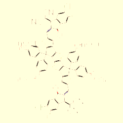 CCCCCCCCOc1ccc(C2(c3ccc(OCCCCCCCC)cc3)c3sc(/C=C4\C(=O)c5cc(Cl)c(Cl)cc5C4=C(C#N)C#N)cc3-c3sc4c5c(sc4c32)-c2cc(/C=C3\C(=O)c4cc(Cl)c(Cl)cc4C3=C(C#N)C#N)sc2C5(c2ccc(OCCCCCCCC)cc2)c2ccc(OCCCCCCCC)cc2)cc1